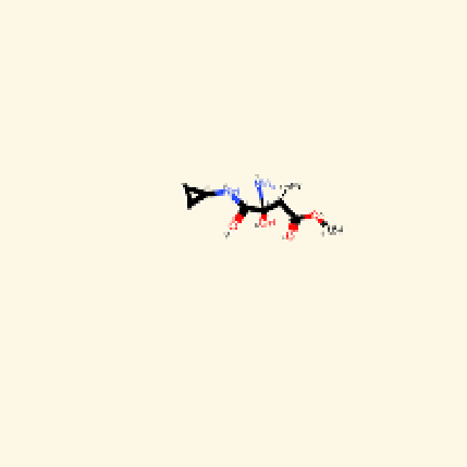 CCC[C@H](C(=O)OC(C)(C)C)[C@](N)(O)C(=O)NC1CC1